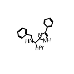 CCC[C@@H](NCc1ccccc1)c1nc(-c2ccccc2)c[nH]1